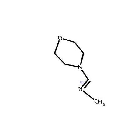 C/N=C/N1CCOCC1